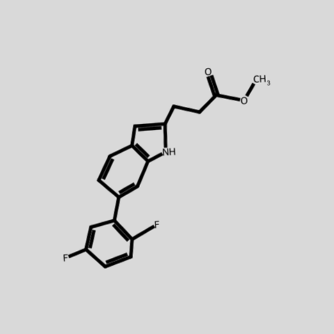 COC(=O)CCc1cc2ccc(-c3cc(F)ccc3F)cc2[nH]1